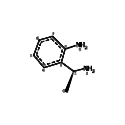 C[C@H](N)c1ccccc1N